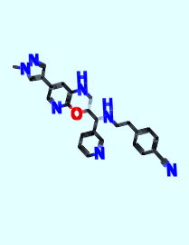 Cn1cc(-c2cnc3c(c2)NC[C@H]([C@H](NCCc2ccc(C#N)cc2)c2cccnc2)O3)cn1